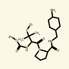 CCSC(C)(C)C(NC(=O)OC(C)C)C(=O)N1CCCC1C(=O)NCC1CCC(N)CC1